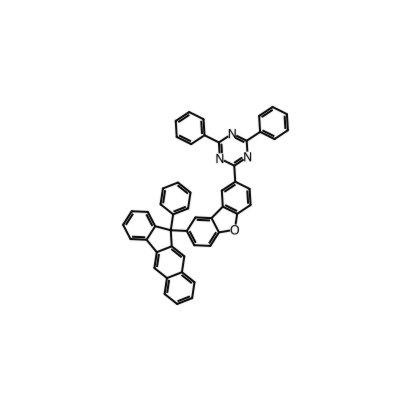 c1ccc(-c2nc(-c3ccccc3)nc(-c3ccc4oc5ccc(C6(c7ccccc7)c7ccccc7-c7cc8ccccc8cc76)cc5c4c3)n2)cc1